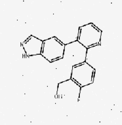 OCc1cc(-c2ncccc2-c2ccc3[nH]ncc3c2)ccc1F